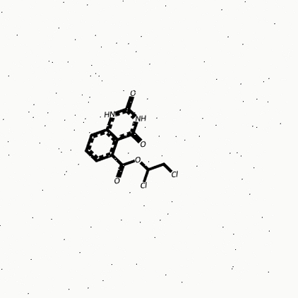 O=C(OC(Cl)CCl)c1cccc2[nH]c(=O)[nH]c(=O)c12